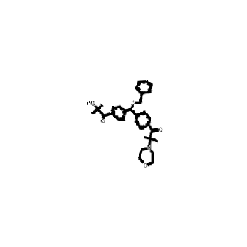 CC(C)(O)C(=O)c1ccc(C(SCc2ccccc2)c2ccc(C(=O)C(C)(C)N3CCOCC3)cc2)cc1